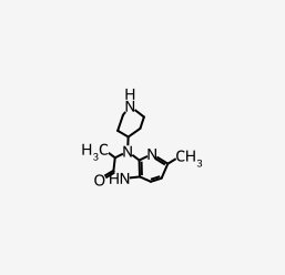 Cc1ccc2c(n1)N(C1CCNCC1)C(C)C(=O)N2